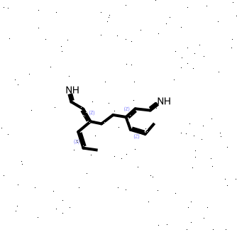 C/C=C\C(=C/C=N)CCC(/C=C\C)=C/C=N